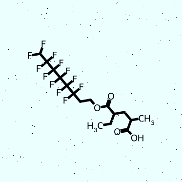 CCC(CC(C)C(=O)O)C(=O)OCCC(F)(F)C(F)(F)C(F)(F)C(F)(F)C(F)(F)C(F)F